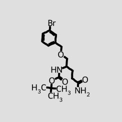 CC(C)(C)OC(=O)NC(CCC(N)=O)COCc1cccc(Br)c1